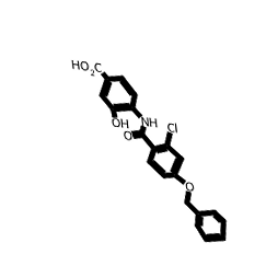 O=C(O)c1ccc(NC(=O)c2ccc(OCc3ccccc3)cc2Cl)c(O)c1